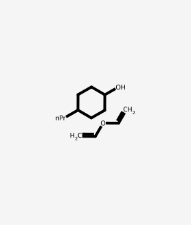 C=COC=C.CCCC1CCC(O)CC1